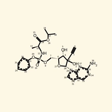 C#CC1(O)[C@@H](O)[C@@H](COP(=O)(N[C@@H](C)C(=O)OC(C)C)Oc2ccccc2)O[C@H]1n1cnc2cnc(N)nc21